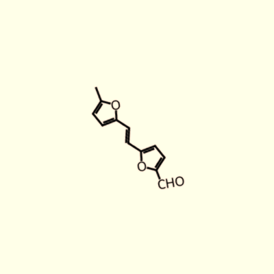 Cc1ccc(C=Cc2ccc(C=O)o2)o1